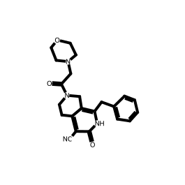 N#Cc1c2c(c(Cc3ccccc3)[nH]c1=O)CN(C(=O)CN1CCOCC1)CC2